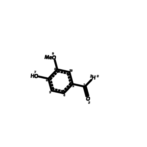 [2H]C(=O)c1ccc(O)c(OC)c1